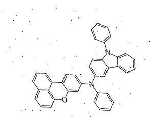 c1ccc(N(c2ccc3c(c2)Oc2cccc4cccc-3c24)c2ccc3c(c2)c2ccccc2n3-c2ccccc2)cc1